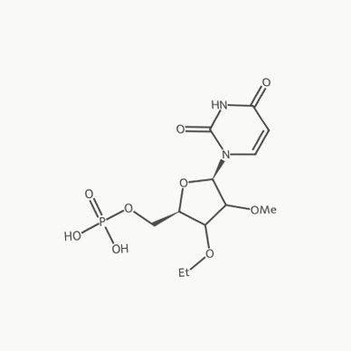 CCOC1C(OC)[C@H](n2ccc(=O)[nH]c2=O)O[C@@H]1COP(=O)(O)O